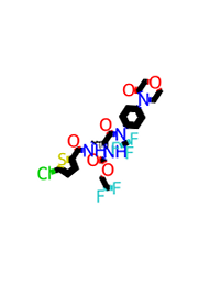 O=C(N[C@H](CNC(=O)c1ccc(Cl)s1)C(=O)N(c1ccc(N2CCOCC2=O)cc1)C(F)(F)F)OCC(F)F